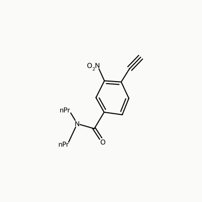 C#Cc1ccc(C(=O)N(CCC)CCC)cc1[N+](=O)[O-]